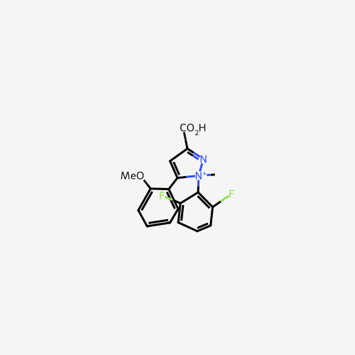 COc1ccccc1C1=CC(C(=O)O)=N[N+]1(C)c1c(F)cccc1F